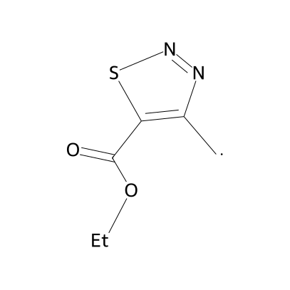 [CH2]c1nnsc1C(=O)OCC